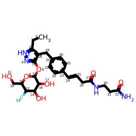 CCc1[nH]nc(OC2OC(CO)C(F)C(O)C2O)c1Cc1ccc(/C=C/CC(=O)NCCC(N)=O)cc1